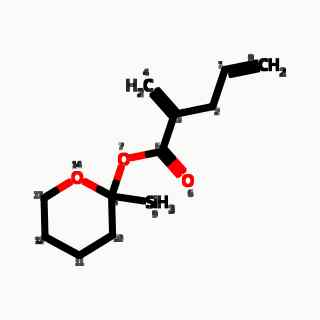 C=CCC(=C)C(=O)OC1([SiH3])CCCCO1